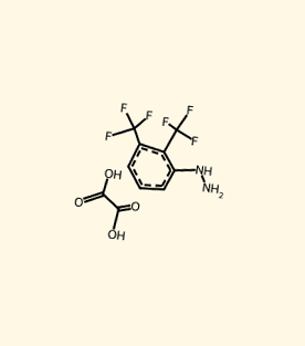 NNc1cccc(C(F)(F)F)c1C(F)(F)F.O=C(O)C(=O)O